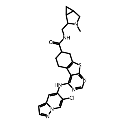 CN1CC2CC2C1CNC(=O)C1CCc2c(sc3ncnc(Nc4cc5ccnn5cc4Cl)c23)C1